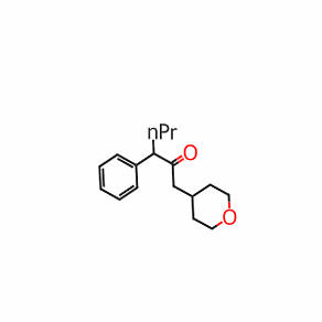 CCCC(C(=O)CC1CCOCC1)c1ccccc1